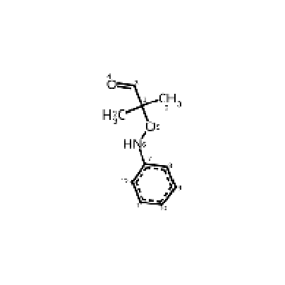 CC(C)(C=O)ONc1ccccc1